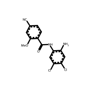 COc1cc(C#N)ccc1C(=O)Nc1cc(Cl)c(Cl)cc1N